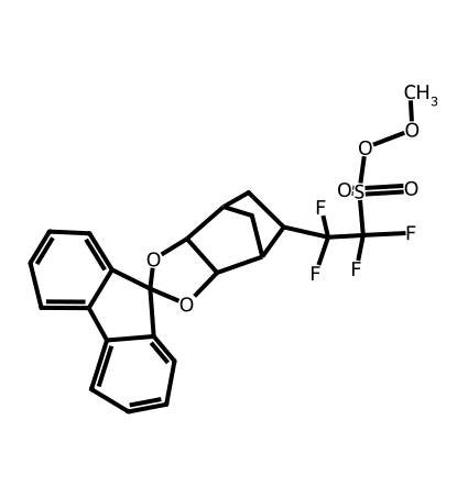 COOS(=O)(=O)C(F)(F)C(F)(F)C1CC2CC1C1OC3(OC21)c1ccccc1-c1ccccc13